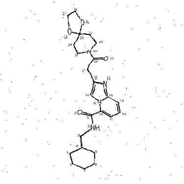 O=C(NCC1CCCCC1)c1cccc2nc(CC(=O)N3CCC4(CC3)OCCO4)cn12